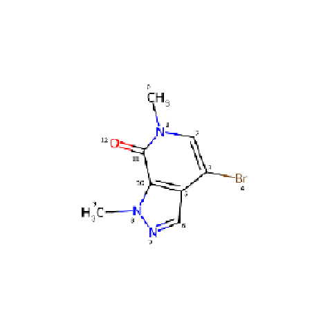 Cn1cc(Br)c2cnn(C)c2c1=O